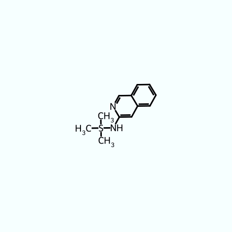 CS(C)(C)Nc1cc2ccccc2cn1